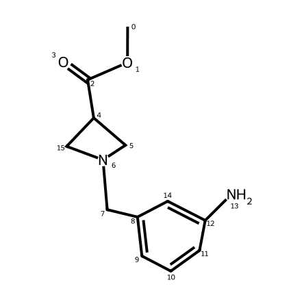 COC(=O)C1CN(Cc2cccc(N)c2)C1